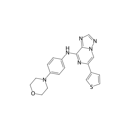 c1nc2c(Nc3ccc(N4CCOCC4)cc3)nc(-c3ccsc3)cn2n1